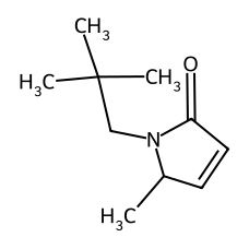 CC1C=CC(=O)N1CC(C)(C)C